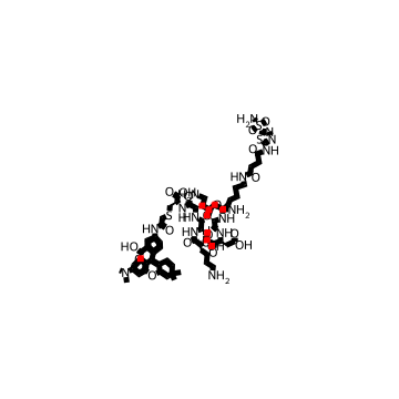 CN(C)c1ccc2c(c1)OC1=CC(C)(C)C=CC1=C2c1ccc(NC(=O)CSC[C@H](NC(=O)[C@H](CCCCN)NC(=O)[C@H](CC(=O)O)NC(=O)[C@H](CCCCN)NC(=O)[C@H](CC(=O)O)NC(=O)[C@H](CCCCN)NC(=O)CCCCCNC(=O)CCC(=O)Nc2nnc(S(N)(=O)=O)s2)C(=O)O)cc1C(=O)O